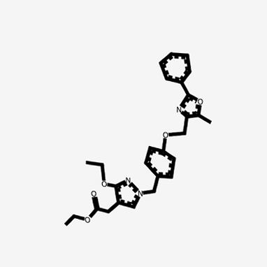 CCOC(=O)Cc1cn(Cc2ccc(OCc3nc(-c4ccccc4)oc3C)cc2)nc1OCC